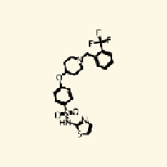 O=S(=O)(Nc1nccs1)c1ccc(OC2CCN(Cc3ccccc3C(F)(F)F)CC2)cc1